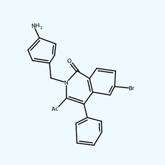 CC(=O)c1c(-c2ccccc2)c2cc(Br)ccc2c(=O)n1Cc1ccc(N)cc1